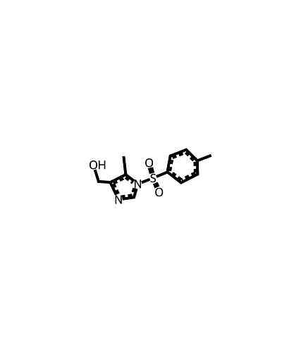 Cc1ccc(S(=O)(=O)n2cnc(CO)c2C)cc1